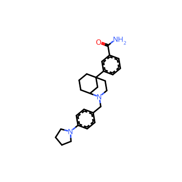 NC(=O)c1cccc(C23CCCC(C2)N(Cc2ccc(N4CCCC4)cc2)CC3)c1